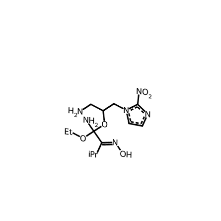 CCOC(N)(OC(CN)Cn1ccnc1[N+](=O)[O-])C(=NO)C(C)C